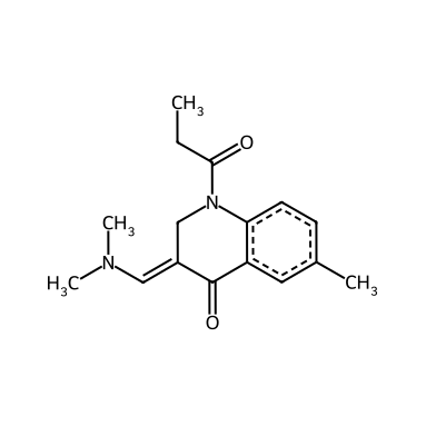 CCC(=O)N1CC(=CN(C)C)C(=O)c2cc(C)ccc21